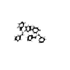 Cc1cc2oc3cc(C)c(N(Cc4ccccc4)Cc4ccccc4)cc3c2cc1N(Cc1ccccc1)Cc1ccccc1